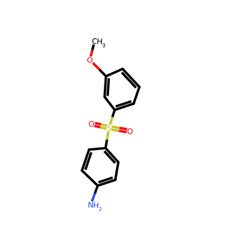 COc1cccc(S(=O)(=O)c2ccc(N)cc2)c1